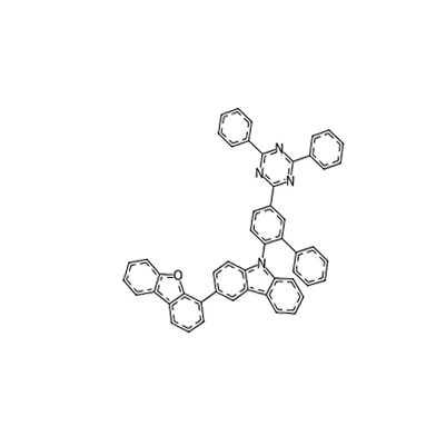 c1ccc(-c2nc(-c3ccccc3)nc(-c3ccc(-n4c5ccccc5c5cc(-c6cccc7c6oc6ccccc67)ccc54)c(-c4ccccc4)c3)n2)cc1